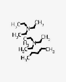 CCCCC.CCN(CC)CC.CCN(CC)CC